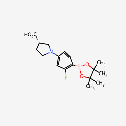 CC1(C)OB(c2ccc(N3CC[C@H](C(=O)O)C3)cc2F)OC1(C)C